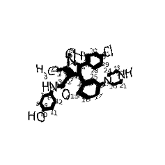 Cc1c(C(=O)NC2CCC(O)CC2)c(-c2cccc(N3CCNCC3)c2)c(-c2ccc(Cl)cc2)n1C